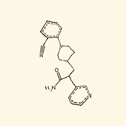 N#Cc1ccccc1N1CCC(CC(C(N)=O)c2cccnc2)CC1